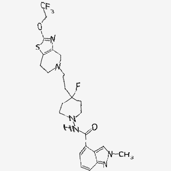 Cn1cc2c(C(=O)NN3CCC(F)(CCN4CCc5sc(OCC(F)(F)F)nc5C4)CC3)cccc2n1